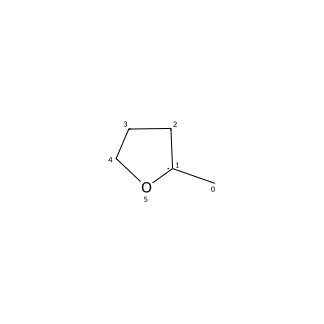 C[C]1CCCO1